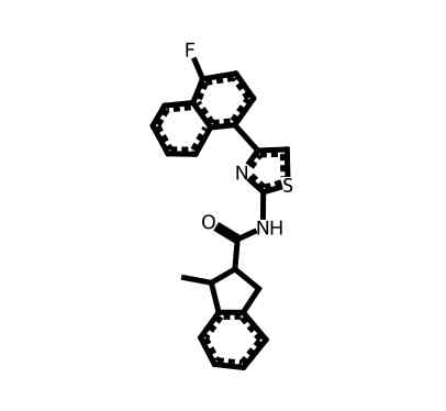 CC1c2ccccc2CC1C(=O)Nc1nc(-c2ccc(F)c3ccccc23)cs1